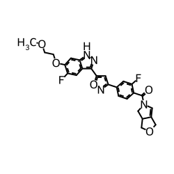 COCCOc1cc2[nH]nc(-c3cc(-c4ccc(C(=O)N5C=C6COCC6C5)c(F)c4)no3)c2cc1F